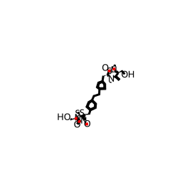 C=C1N(C)[C@@]2(Cc3ccc(CCc4ccc(C[C@@]56SS[C@@](CO)(C(=O)N5C)N(C)C6=O)cc4)cc3)SS[C@]1(CO)N(C)C2=O